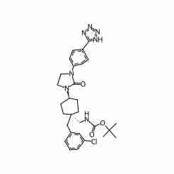 CC(C)(C)OC(=O)NC[C@]1(Cc2cccc(Cl)c2)CC[C@@H](N2CCN(c3ccc(-c4nnn[nH]4)cc3)C2=O)CC1